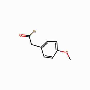 COc1ccc(CC(=O)Br)cc1